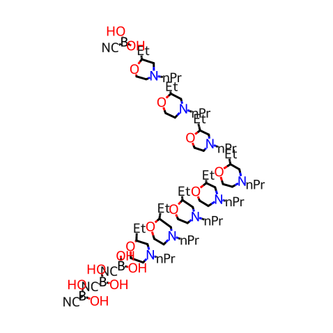 CCCN1CCOC(CC)C1.CCCN1CCOC(CC)C1.CCCN1CCOC(CC)C1.CCCN1CCOC(CC)C1.CCCN1CCOC(CC)C1.CCCN1CCOC(CC)C1.CCCN1CCOC(CC)C1.CCCN1CCOC(CC)C1.N#CB(O)O.N#CB(O)O.N#CB(O)O.N#CB(O)O